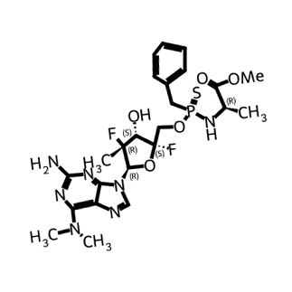 COC(=O)[C@@H](C)NP(=S)(Cc1ccccc1)OC[C@@]1(F)O[C@@H](n2cnc3c(N(C)C)nc(N)nc32)[C@](C)(F)[C@@H]1O